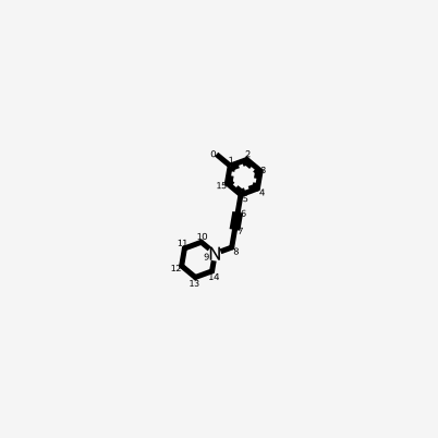 Cc1cccc(C#CCN2CCCCC2)c1